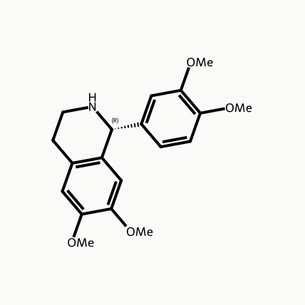 COc1ccc([C@H]2NCCc3cc(OC)c(OC)cc32)cc1OC